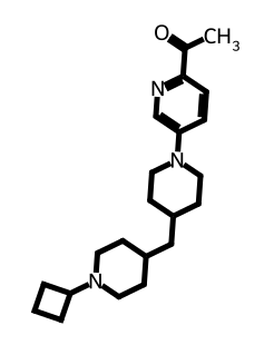 CC(=O)c1ccc(N2CCC(CC3CCN(C4CCC4)CC3)CC2)cn1